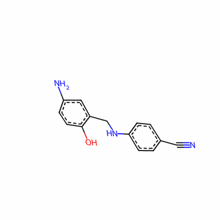 N#Cc1ccc(NCc2cc(N)ccc2O)cc1